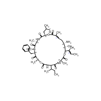 C/C=C(\C)[C@H]1OC(=O)[C@@H](C)NC(=O)C(C(C)CC)NC(=O)CN(C)C(=O)[C@@H](Cc2ccccc2)N(C)C(=O)[C@H](C)NC(=O)[C@@H](CC(C)C)OC(=O)/C(C)=C/C[C@H](N)[C@@H]1C